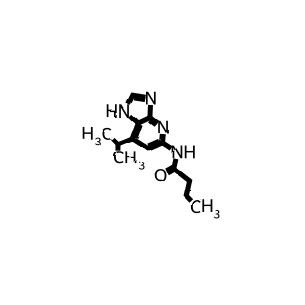 CCCC(=O)Nc1cc(C(C)C)c2[nH]cnc2n1